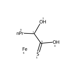 CCCC(O)C(O)=S.[Fe]